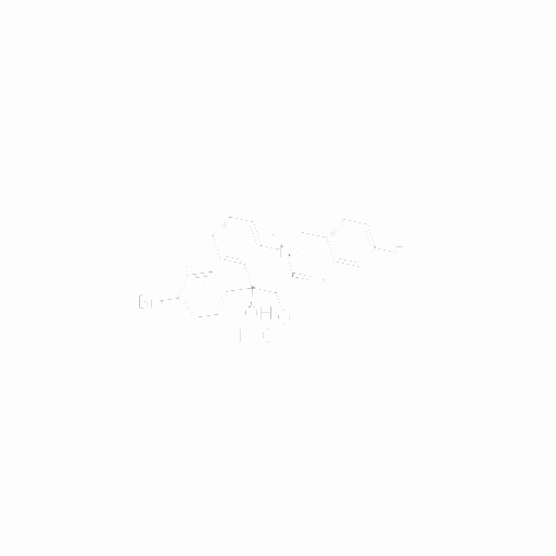 COC1C(=O)N(Cc2ccc(F)cc2)c2ccccc2C1(O)c1ccc(Br)cc1